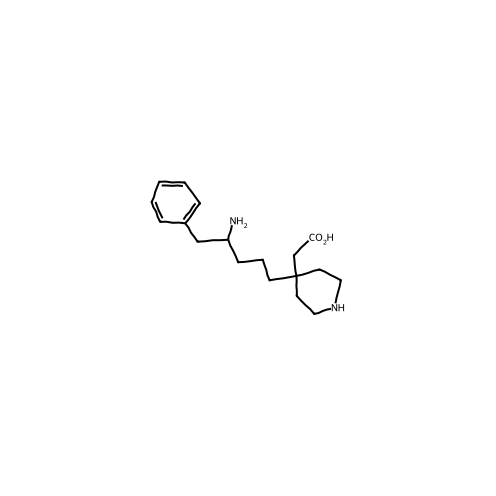 NC(CCCC1(CC(=O)O)CCNCC1)Cc1ccccc1